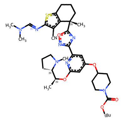 C[C@H](Oc1cc(OC2CCN(C(=O)OC(C)(C)C)CC2)cc(-c2noc([C@@]3(C)CCCc4sc(/N=C/N(C)C)c(C#N)c43)n2)n1)[C@@H]1CCCN1C